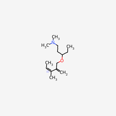 C=C(COC(CC)CCN(C)C)/C(C)=C\C